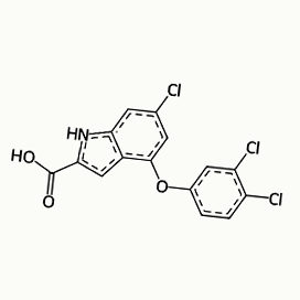 O=C(O)c1cc2c(Oc3ccc(Cl)c(Cl)c3)cc(Cl)cc2[nH]1